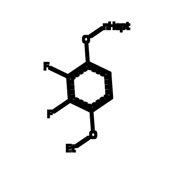 CCCCCCCOc1ccc(OCC)c(F)c1F